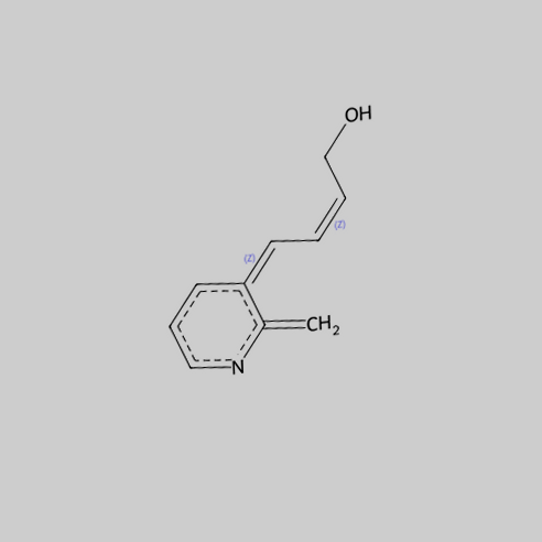 C=c1nccc/c1=C/C=C\CO